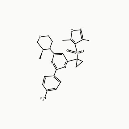 Cc1noc(C)c1S(=O)(=O)C1(c2cc(N3CCOC[C@@H]3C)nc(-c3ccc(N)cc3)n2)CC1